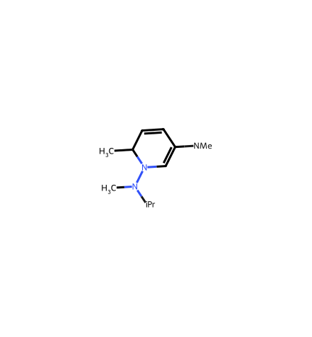 CNC1=CN(N(C)C(C)C)C(C)C=C1